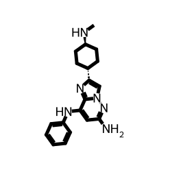 CN[C@H]1CC[C@H](c2cn3nc(N)cc(Nc4ccccc4)c3n2)CC1